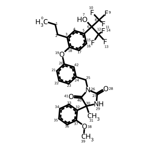 CCCc1cc(C(O)(C(F)(F)F)C(F)(F)F)ccc1Oc1cccc(CN2C(=O)NC(C)(c3ccccc3OC)C2=O)c1